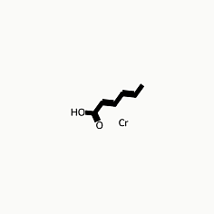 C/C=C/C=C/C(=O)O.[Cr]